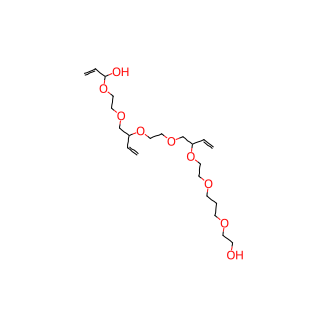 C=CC(O)OCCOCC(C=C)OCCOCC(C=C)OCCOCCCOCCO